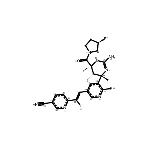 C[C@@H]1[C@@](C)(C(=O)N2CC[C@@H](F)C2)SC(N)=N[C@]1(C)c1cc(/C=C(\F)c2ccc(C#N)cn2)cnc1F